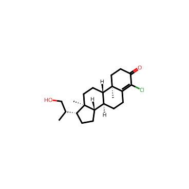 CC(CO)[C@H]1CC[C@H]2[C@@H]3CCC4=C(Cl)C(=O)CC[C@]4(C)[C@H]3CC[C@]12C